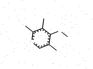 CSc1c(C)cnc(C)c1C